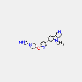 Cn1c2ccncc2c2ccc(-c3ccc(OC4CCN(C5CNC5)CC4)nc3)cc21